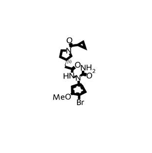 COc1cc(N(NC(=O)C[C@@H]2CCN(C(=O)C3CC3)C2)C(N)=O)ccc1Br